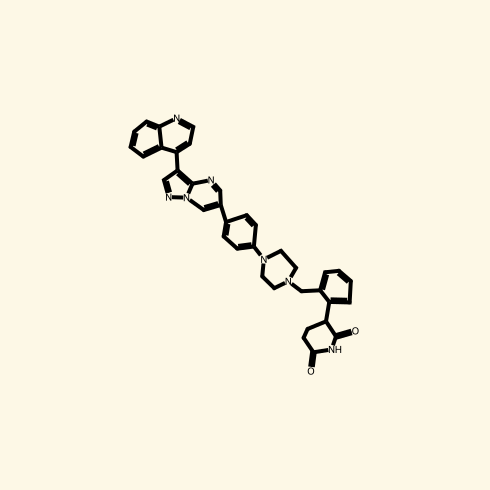 O=C1CCC(c2ccccc2CN2CCN(c3ccc(-c4cnc5c(-c6ccnc7ccccc67)cnn5c4)cc3)CC2)C(=O)N1